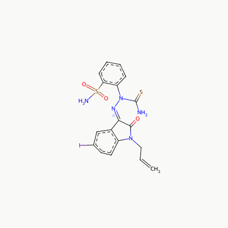 C=CCN1C(=O)/C(=N\N(C(N)=S)c2ccccc2S(N)(=O)=O)c2cc(I)ccc21